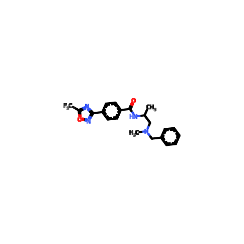 CC(CN(C)Cc1ccccc1)NC(=O)c1ccc(-c2noc(C(F)(F)F)n2)cc1